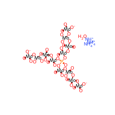 O.O=P([O][Mo](=[O])(=[O])[O][Mo](=[O])(=[O])[O][Mo](=[O])(=[O])[O][Mo](=[O])(=[O])[O-])([O][Mo](=[O])(=[O])[O][Mo](=[O])(=[O])[O][Mo](=[O])(=[O])[O][Mo](=[O])(=[O])[O-])[O][Mo](=[O])(=[O])[O][Mo](=[O])(=[O])[O][Mo](=[O])(=[O])[O][Mo](=[O])(=[O])[O-].[NH4+].[NH4+].[NH4+]